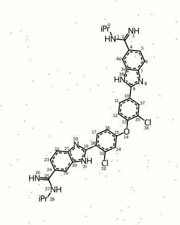 CC(C)NC(=N)c1ccc2nc(-c3ccc(Oc4ccc(-c5nc6ccc(C(=N)NC(C)C)cc6[nH]5)c(Cl)c4)c(Cl)c3)[nH]c2c1